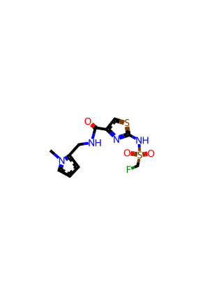 Cn1cccc1CNC(=O)c1csc(NS(=O)(=O)CF)n1